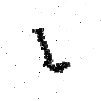 CC(CSC1CC(=O)N(CCCC(=O)Nc2ccc3c(c2)C(=O)C(SCCO)=C(SCCO)C3=O)C1=O)C(=O)NCC(=O)NCC(=O)NCC(=O)NCC(=O)NCC(=O)NC(C)C(=O)O